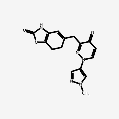 Cn1cc(-n2ccc(=O)c(CC3=Cc4[nH]c(=O)oc4CC3)n2)cn1